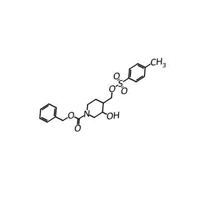 Cc1ccc(S(=O)(=O)OCC2CCN(C(=O)OCc3ccccc3)CC2O)cc1